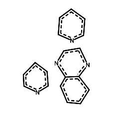 c1ccc2nccnc2c1.c1ccncc1.c1ccncc1